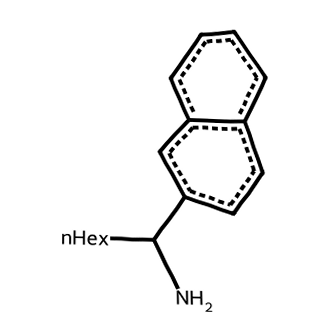 CCCCCCC(N)c1ccc2ccccc2c1